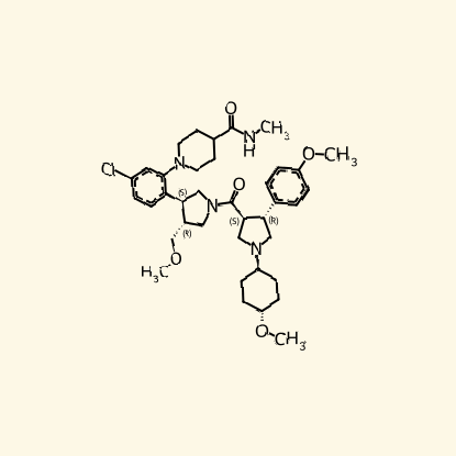 CNC(=O)C1CCN(c2cc(Cl)ccc2[C@H]2CN(C(=O)[C@@H]3CN([C@H]4CC[C@H](OC)CC4)C[C@H]3c3ccc(OC)cc3)C[C@@H]2COC)CC1